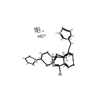 BrC1=NC=CC23C(=CCC=C12)C(Cc1cccnc1)=CN3N1CCC(N2CCCC2)CC1.Cl.Cl.Cl